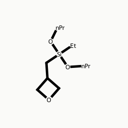 CCCO[Si](CC)(CC1COC1)OCCC